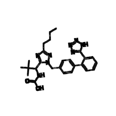 CCCCc1nc(C(NC(=O)O)C(C)(C)C)n(Cc2ccc(-c3ccccc3-c3nnn[nH]3)cc2)n1